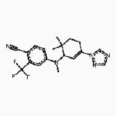 CN(c1ccc(C#N)c(C(F)(F)F)c1)C1C=C(n2cncn2)CCC1(C)C